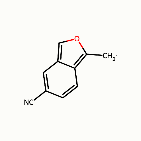 [CH2]c1occ2cc(C#N)ccc12